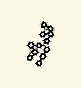 C1=CC(c2ccc(-c3ccccc3)cc2)=CC(N(c2ccc(-c3ccccc3-c3ccccc3-n3c4ccccc4c4ccccc43)cc2)c2ccc(-c3ccccc3-c3cccc4c3oc3ccccc34)cc2)C1